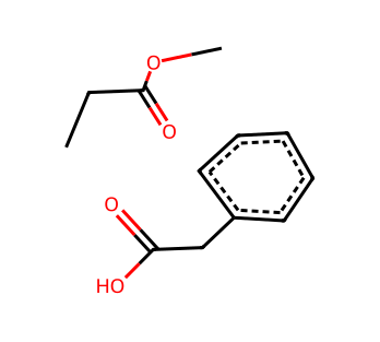 CCC(=O)OC.O=C(O)Cc1ccccc1